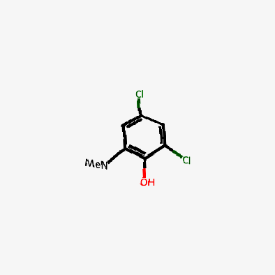 CNc1cc(Cl)cc(Cl)c1O